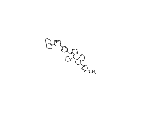 Cc1ccc(C2=c3ccccc3=C(C3=c4ccccc4=C(c4ccc(C5=CC=NC(C6=C7C=CCCC7CC=C6)C5)cc4)C4C=CC=CC34)CC2)cc1